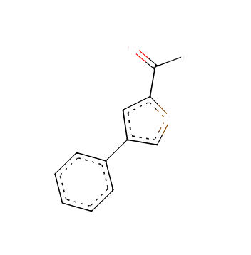 CC(C)C(=O)c1cc(-c2ccccc2)cs1